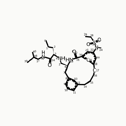 CCC[C@H](NC[C@@H]1Cc2cccc(c2)CCCCc2cc(cc(N(C)S(=O)(=O)CC)c2)C(=O)N1)C(=O)NCC(C)C